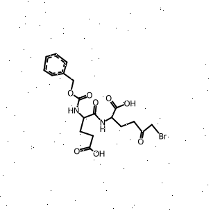 O=C(O)CCC(NC(=O)OCc1ccccc1)C(=O)NC(CCC(=O)CBr)C(=O)O